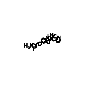 Cc1ncccc1CNc1nc2ccc(OCC(=CF)CN)cc2o1